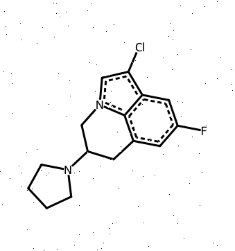 Fc1cc2c3c(c1)c(Cl)cn3CC(N1CCCC1)C2